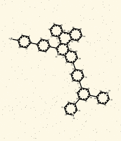 Fc1ccc(-c2ccc(-c3nc4cc(-c5ccc(-c6cc(-c7cccnc7)cc(-c7cccnc7)c6)cc5)ccc4c4c5ccccc5c5ccccc5c34)cc2)cc1